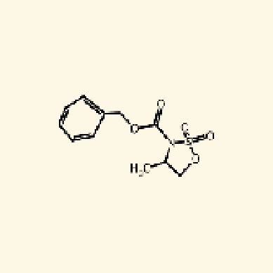 CC1COS(=O)(=O)N1C(=O)OCc1ccccc1